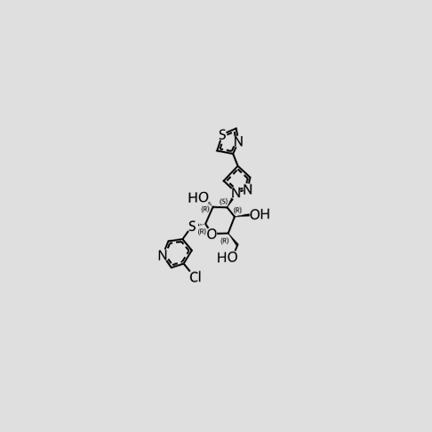 OC[C@H]1O[C@H](Sc2cncc(Cl)c2)[C@H](O)[C@@H](n2cc(-c3cscn3)cn2)[C@H]1O